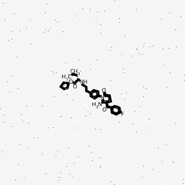 CC(C)C[C@H](NCCCc1ccc(-n2c(N)c(C(=O)c3ccc(F)cc3)ccc2=O)cc1)C(=O)OC1CCCC1